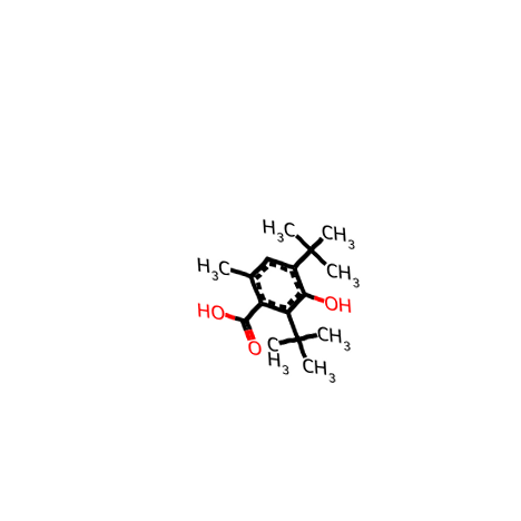 Cc1cc(C(C)(C)C)c(O)c(C(C)(C)C)c1C(=O)O